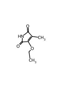 CCOC1=C(C)C(=O)NC1=O